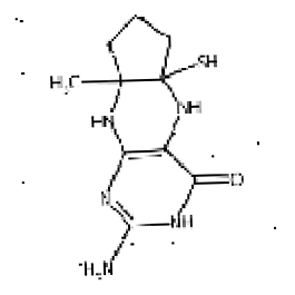 CC12CCCC1(S)Nc1c(nc(N)[nH]c1=O)N2